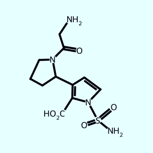 NCC(=O)N1CCCC1c1ccn(S(N)(=O)=O)c1C(=O)O